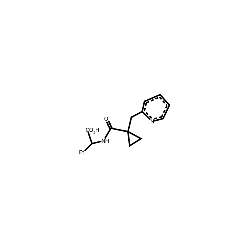 CCC(NC(=O)C1(Cc2ccccn2)CC1)C(=O)O